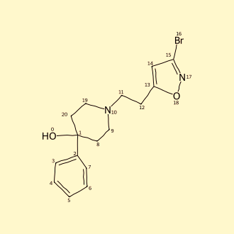 OC1(c2ccccc2)CCN(CCc2cc(Br)no2)CC1